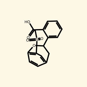 CS(=O)(=O)c1cc2ccc1OC(c1ccccc1C(=O)O)C2